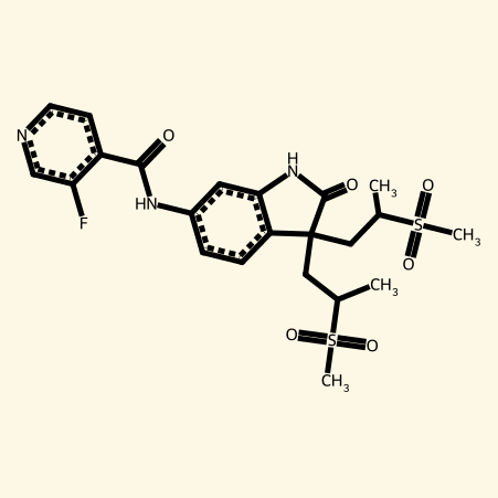 CC(CC1(CC(C)S(C)(=O)=O)C(=O)Nc2cc(NC(=O)c3ccncc3F)ccc21)S(C)(=O)=O